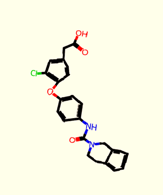 O=C(O)Cc1ccc(Oc2ccc(NC(=O)N3CCc4ccccc4C3)cc2)c(Cl)c1